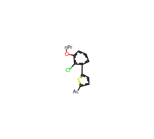 CCCOc1cccc(-c2ccc(C(C)=O)s2)c1Cl